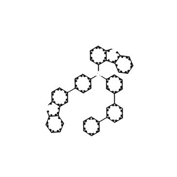 c1ccc(-c2cccc(-c3cccc(N(c4ccc(-c5ccc6oc7ccccc7c6c5)cc4)c4cccc5oc6ccccc6c45)c3)c2)cc1